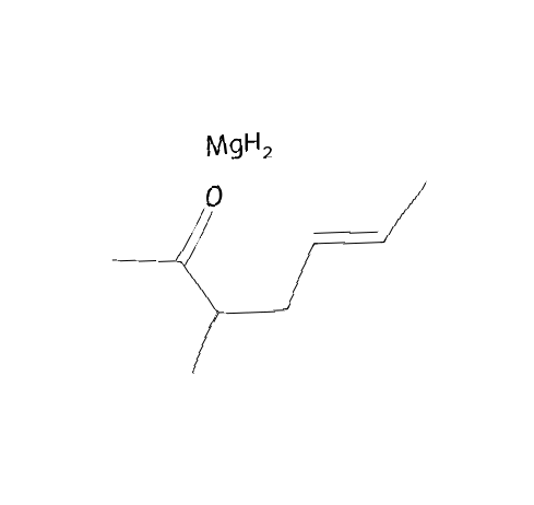 CC=CCC(C)C(C)=O.[MgH2]